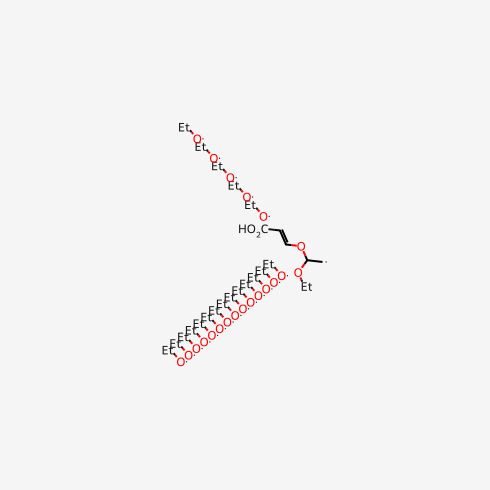 [CH2]C(OC=CC(=O)O)OCC.[CH2]C[O].[CH2]C[O].[CH2]C[O].[CH2]C[O].[CH2]C[O].[CH2]C[O].[CH2]C[O].[CH2]C[O].[CH2]C[O].[CH2]C[O].[CH2]C[O].[CH2]C[O].[CH2]C[O].[CH2]C[O].[CH2]C[O].[CH2]C[O].[CH2]C[O].[CH2]C[O].[CH2]C[O]